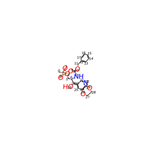 CS(=O)(=O)OC[C@@H](NC(=O)OCc1ccccc1)[C@H](O)c1cnc2c(c1)OCCO2